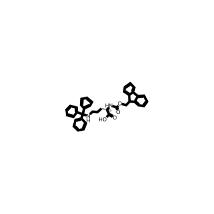 O=C(N[C@@H](CCCNC(c1ccccc1)(c1ccccc1)c1ccccc1)C(=O)O)OCC1c2ccccc2-c2ccccc21